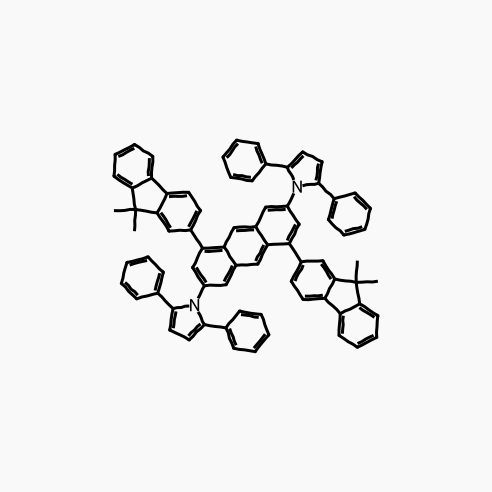 CC1(C)c2ccccc2-c2ccc(-c3cc(-n4c(-c5ccccc5)ccc4-c4ccccc4)cc4cc5c(-c6ccc7c(c6)C(C)(C)c6ccccc6-7)cc(-n6c(-c7ccccc7)ccc6-c6ccccc6)cc5cc34)cc21